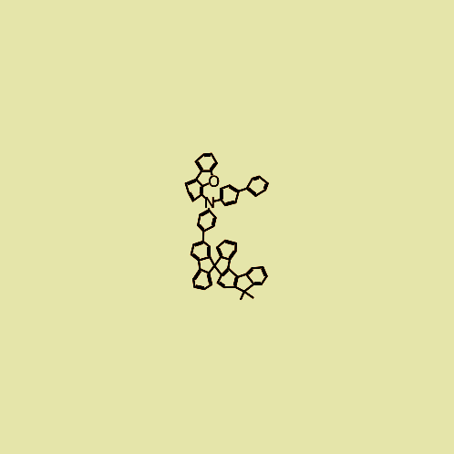 CC1(C)c2ccccc2-c2c1ccc1c2-c2ccccc2C12c1ccccc1-c1ccc(-c3ccc(N(c4ccc(-c5ccccc5)cc4)c4cccc5c4oc4ccccc45)cc3)cc12